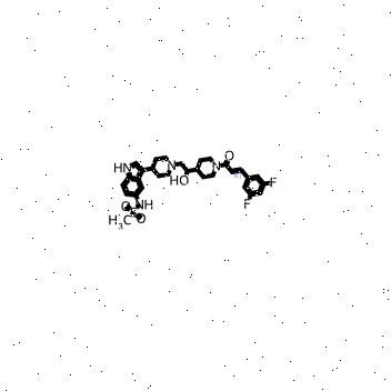 CS(=O)(=O)Nc1ccc2[nH]cc(C3CCN(CC(O)C4CCN(C(=O)/C=C/c5cc(F)cc(F)c5)CC4)CC3)c2c1